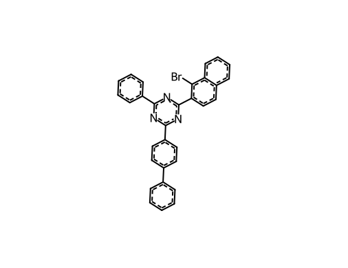 Brc1c(-c2nc(-c3ccccc3)nc(-c3ccc(-c4ccccc4)cc3)n2)ccc2ccccc12